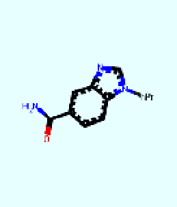 CCCn1cnc2cc(C(N)=O)ccc21